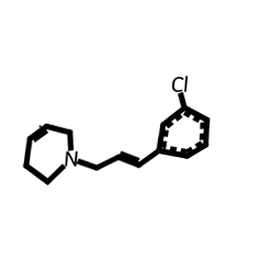 Clc1cccc(C=CCN2C[C]=CCC2)c1